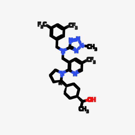 CC(O)[C@H]1CC[C@H]([C@H]2CCCN2c2ncc(C(F)(F)F)cc2CN(Cc2cc(C(F)(F)F)cc(C(F)(F)F)c2)c2nnn(C)n2)CC1